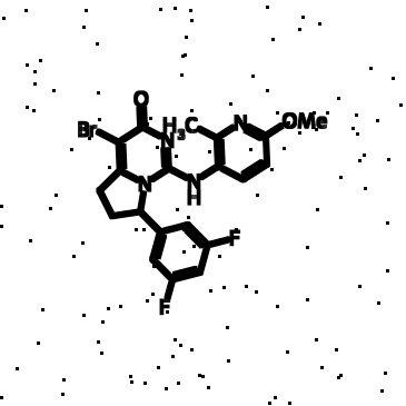 COc1ccc(Nc2nc(=O)c(Br)c3n2C(c2cc(F)cc(F)c2)CC3)c(C)n1